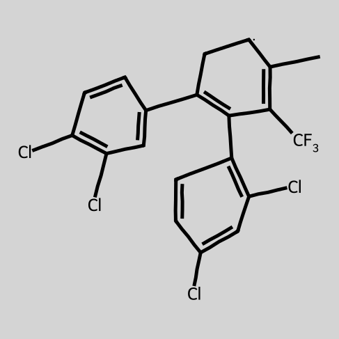 CC1=C(C(F)(F)F)C(c2ccc(Cl)cc2Cl)=C(c2ccc(Cl)c(Cl)c2)C[CH]1